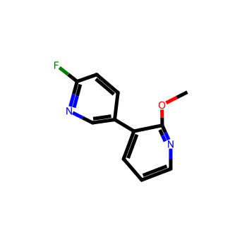 COc1ncccc1-c1ccc(F)nc1